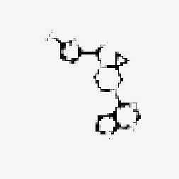 Cc1ccc(C(=O)N2CCN(c3ncnc4[nH]ccc34)CC23CC3)s1